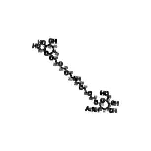 CC(=O)NC1CC(O)[C@@H](O)C(CO)O[C@H]1OCCOCCOCCNCCOCCOCCO[C@@H]1OC(CO)[C@H](O)C(O)CC1C